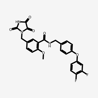 COc1ccc(CN2C(=O)NC(=O)C2=O)cc1C(=O)NCc1ccc(Oc2ccc(F)c(F)c2)cc1